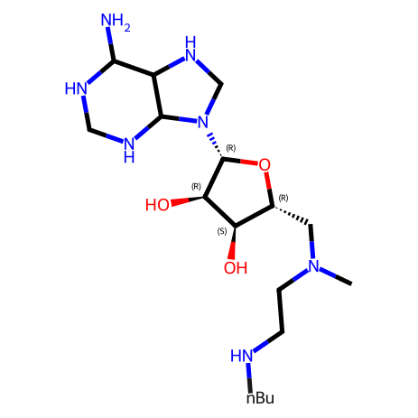 CCCCNCCN(C)C[C@H]1O[C@@H](N2CNC3C(N)NCNC32)[C@H](O)[C@@H]1O